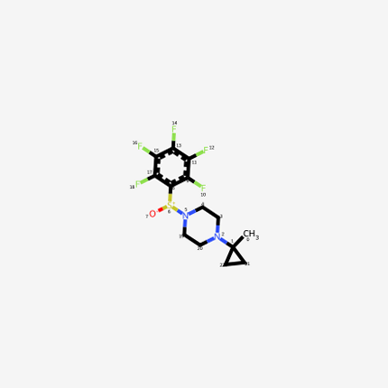 CC1(N2CCN([S+]([O-])c3c(F)c(F)c(F)c(F)c3F)CC2)CC1